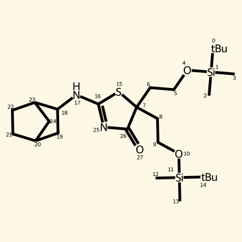 CC(C)(C)[Si](C)(C)OCCC1(CCO[Si](C)(C)C(C)(C)C)SC(NC2CC3CCC2C3)=NC1=O